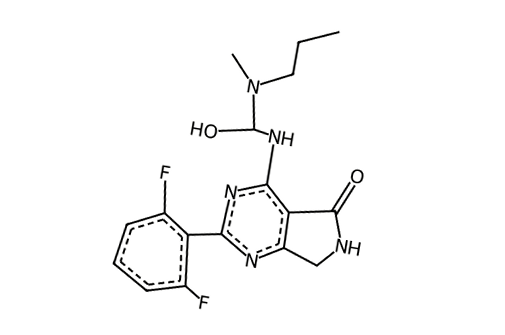 CCCN(C)C(O)Nc1nc(-c2c(F)cccc2F)nc2c1C(=O)NC2